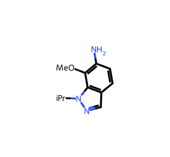 COc1c(N)ccc2cnn(C(C)C)c12